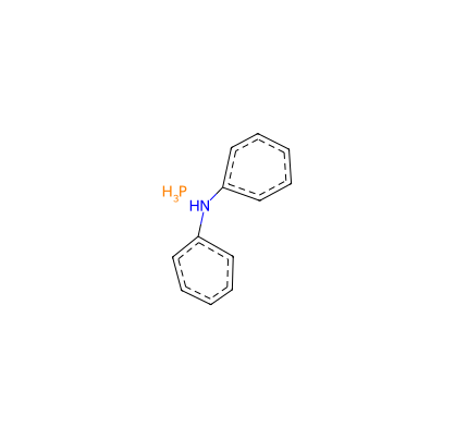 P.c1ccc(Nc2ccccc2)cc1